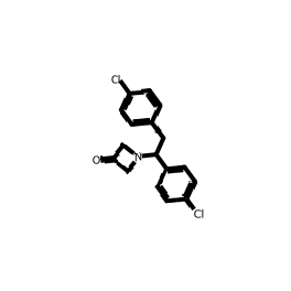 O=C1CN(C(Cc2ccc(Cl)cc2)c2ccc(Cl)cc2)C1